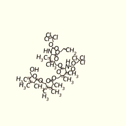 C=CCO[C@@H]1OC(CO[C@@H]2OC(CO[C@@H]3OC(CO[C@@H]4OC(CO)[C@@H](C)[C@H](C)C4C)[C@@H](C)[C@H](C)C3C)[C@@H](C)[C@H](C)C2NC(=O)OCC(Cl)(Cl)Cl)[C@@H](C)[C@H](C)C1NC(=O)OCC(Cl)(Cl)Cl